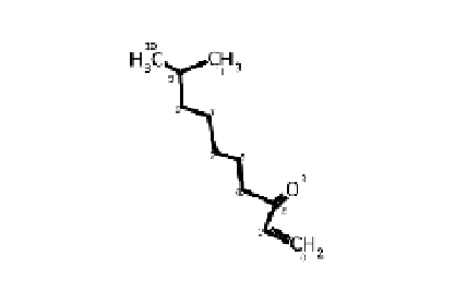 C=CC(=O)[CH]CCCCC(C)C